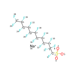 O=S(=O)([O-])C(F)C(F)(F)C(F)C(F)C(F)C(F)C(F)C(F)C(F)C(F)C(F)C(F)F.[Na+]